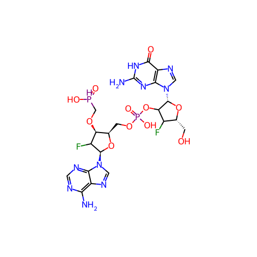 Nc1nc2c(ncn2[C@@H]2O[C@H](CO)C(F)C2OP(=O)(O)OC[C@H]2O[C@@H](n3cnc4c(N)ncnc43)C(F)[C@H]2OC[PH](=O)O)c(=O)[nH]1